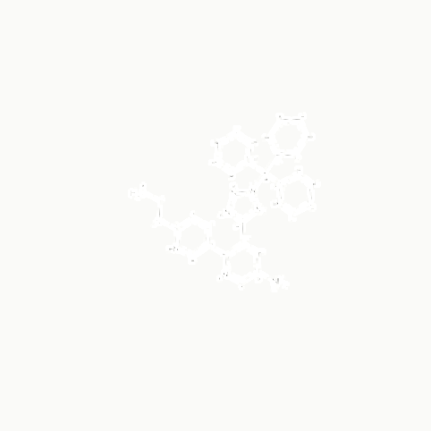 CCOc1ccc(-c2ncc(N)cc2-c2nnn(C(c3ccccc3)(c3ccccc3)c3ccccc3)n2)cn1